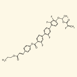 C=C(F)C(=O)OC(C)Oc1ccc(-c2ccc(-c3ccc(C(=O)Oc4ccc(/C=C/C(=O)OCCC)cc4)c(F)c3)c(F)c2)c(F)c1F